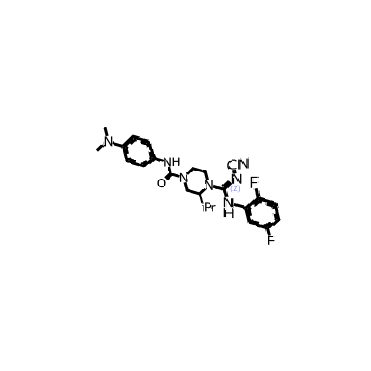 CC(C)C1CN(C(=O)Nc2ccc(N(C)C)cc2)CCN1/C(=N\C#N)Nc1cc(F)ccc1F